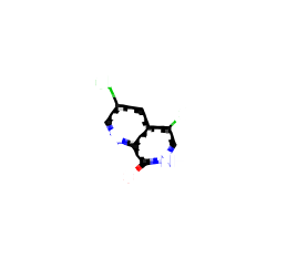 O=c1[nH]cc(Cl)c2cc(Cl)cnc12